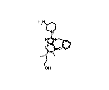 CN(CCO)c1nc2nc(N3CCCC(N)C3)n(Cc3ccccc3)c2c(=O)n1C